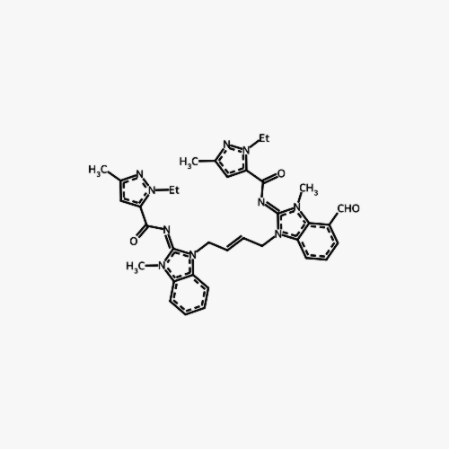 CCn1nc(C)cc1C(=O)/N=c1\n(C)c2ccccc2n1C/C=C/Cn1/c(=N/C(=O)c2cc(C)nn2CC)n(C)c2c(C=O)cccc21